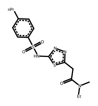 CCCc1ccc(S(=O)(=O)Nc2nnc(CC(=O)N(C)CC)s2)cc1